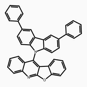 c1ccc(-c2ccc3c(c2)c2cc(-c4ccccc4)ccc2n3-c2c3ccccc3nc3oc4ccccc4c23)cc1